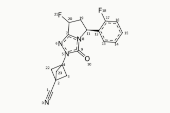 N#CC12CC(n3nc4n(c3=O)[C@H](c3ccccc3F)CC4F)(C1)C2